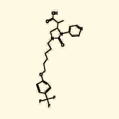 CC(C(=O)O)C1CN(CCCCCCOc2ccc(C(F)(F)F)cc2)C(=O)N1c1ccncc1